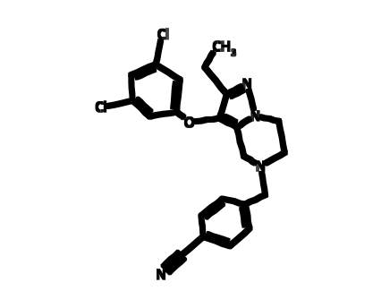 CCc1nn2c(c1Oc1cc(Cl)cc(Cl)c1)CN(Cc1ccc(C#N)cc1)CC2